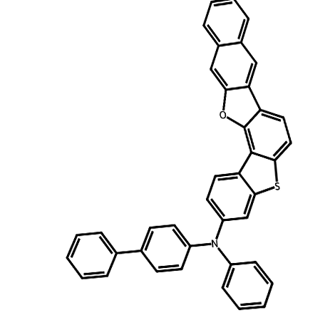 c1ccc(-c2ccc(N(c3ccccc3)c3ccc4c(c3)sc3ccc5c6cc7ccccc7cc6oc5c34)cc2)cc1